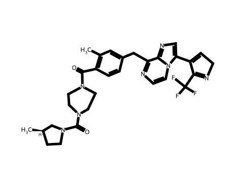 Cc1cc(Cc2nccn3c(C4=CCN=C4C(F)(F)F)cnc23)ccc1C(=O)N1CCN(C(=O)N2CC[C@@H](C)C2)CC1